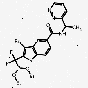 CCOP(OCC)C(F)(F)c1sc2ccc(C(=O)NC(C)c3cccnn3)cc2c1Br